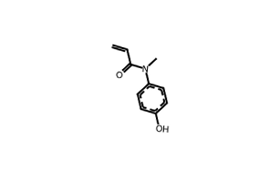 C=CC(=O)N(C)c1ccc(O)cc1